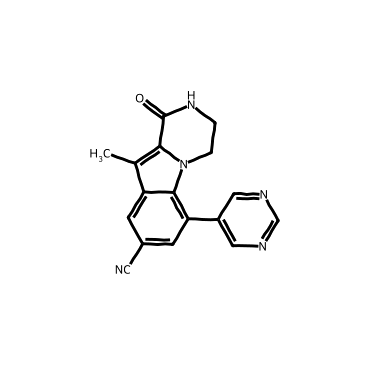 Cc1c2n(c3c(-c4cncnc4)cc(C#N)cc13)CCNC2=O